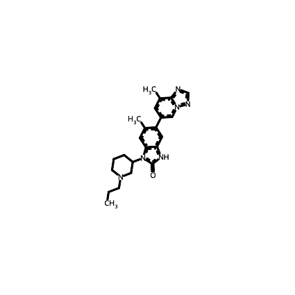 CCCN1CCCC(n2c(=O)[nH]c3cc(-c4cc(C)c5ncnn5c4)c(C)cc32)C1